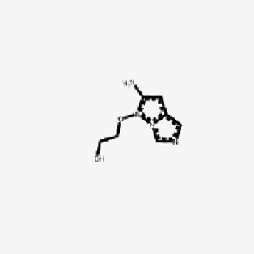 Nc1cc2cncn2n1OCCO